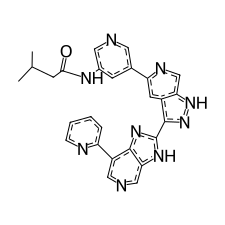 CC(C)CC(=O)Nc1cncc(-c2cc3c(-c4nc5c(-c6ccccn6)cncc5[nH]4)n[nH]c3cn2)c1